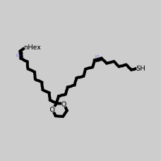 CCCCCC/C=C\CCCCCCCCC1(CCCCCCCC/C=C\CCCCCS)OCCCO1